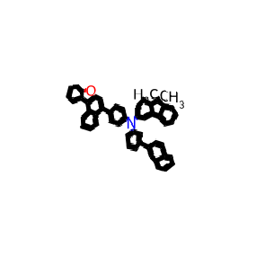 CC1(C)c2ccccc2C2=CC(N(c3ccc(-c4cc5oc6ccccc6c5c5ccccc45)cc3)c3cccc(-c4ccc5ccccc5c4)c3)=CCC21